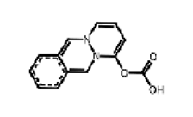 O=C(O)OC1=CC=CN2C=c3ccccc3=CN12